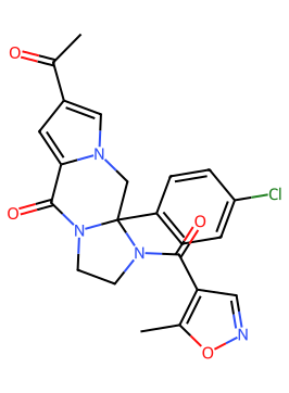 CC(=O)c1cc2n(c1)CC1(c3ccc(Cl)cc3)N(C(=O)c3cnoc3C)CCN1C2=O